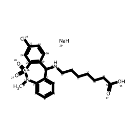 CN1c2ccccc2C(NCCCCCCC(=O)O)c2ccc(Cl)cc2S1(=O)=O.[NaH]